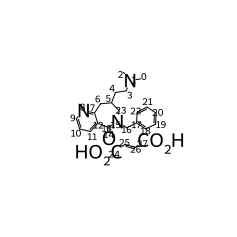 CN(C)CCC1Cc2ncccc2C(=O)N(Cc2ccccc2)C1.O=C(O)C=CC(=O)O